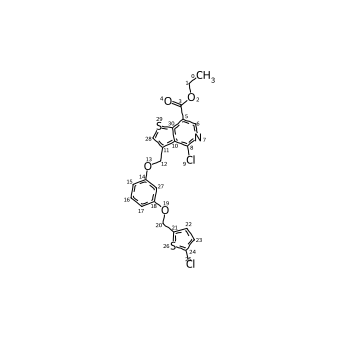 CCOC(=O)c1cnc(Cl)c2c(COc3cccc(OCc4ccc(Cl)s4)c3)csc12